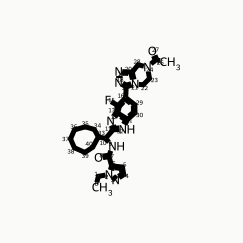 CCn1nccc1C(=O)NC(c1nc2c(F)c(-c3nnc4n3CCN(C(C)=O)C4)ccc2[nH]1)C1CCCCCCC1